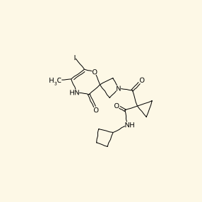 CC1=C(I)OC2(CN(C(=O)C3(C(=O)NC4CCC4)CC3)C2)C(=O)N1